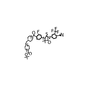 CC(C)(C)OC(=O)N1CCN(CC2CCN(C(=O)c3ccc(N4C(=S)N(c5ccc(C#N)c(C(F)(F)F)c5)C(=O)C4(C)C)cc3F)CC2)CC1